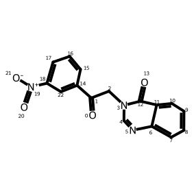 O=C(Cn1cnc2ccccc2c1=O)c1cccc([N+](=O)[O-])c1